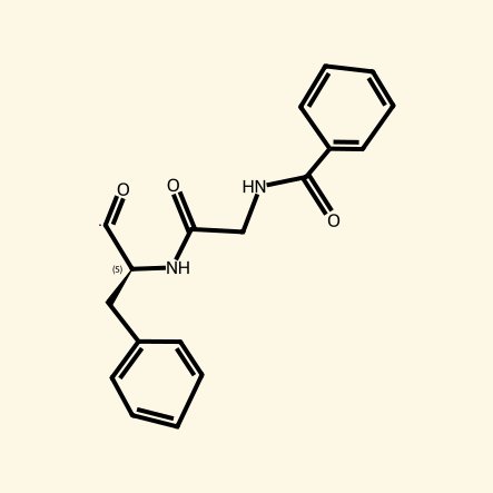 O=[C][C@H](Cc1ccccc1)NC(=O)CNC(=O)c1ccccc1